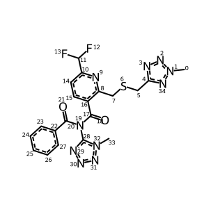 Cn1nnc(CSCc2nc(C(F)F)ccc2C(=O)N(C(=O)c2ccccc2)c2nnnn2C)n1